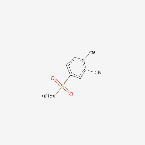 CCCCCCS(=O)(=O)c1ccc(C#N)c(C#N)c1